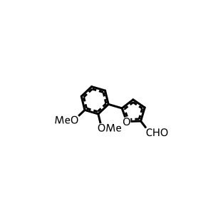 COc1cccc(-c2ccc(C=O)o2)c1OC